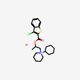 CC(C[N+]1(C2CCCCC2)CCCCC1)OC(=O)c1sc2ccccc2c1Cl.[Br-]